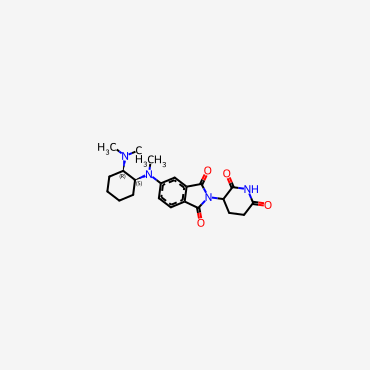 CN(C)[C@@H]1CCCC[C@@H]1N(C)c1ccc2c(c1)C(=O)N(C1CCC(=O)NC1=O)C2=O